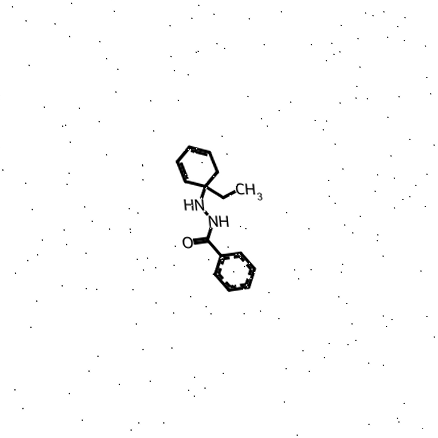 CCC1(NNC(=O)c2ccccc2)C=CC=CC1